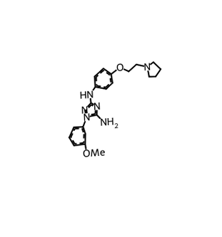 COc1cccc(-n2nc(Nc3ccc(OCCN4CCCC4)cc3)nc2N)c1